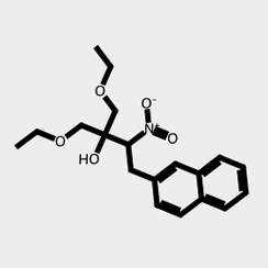 CCOCC(O)(COCC)C(Cc1ccc2ccccc2c1)[N+](=O)[O-]